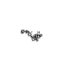 Cc1cc(CNc2cccc3c2C(=O)N(C2CCC(=O)NC2=O)C3=O)ccc1CN1CC(c2cccnc2)C1